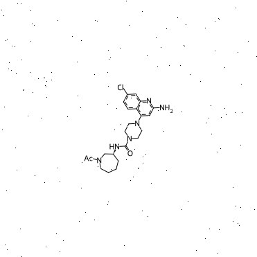 CC(=O)N1CCCC[C@H](NC(=O)N2CCN(c3cc(N)nc4cc(Cl)ccc34)CC2)C1